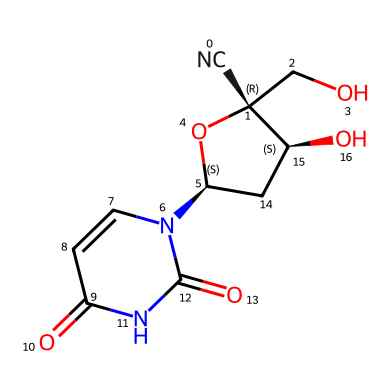 N#C[C@]1(CO)O[C@H](n2ccc(=O)[nH]c2=O)C[C@@H]1O